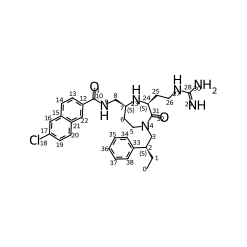 CC[C@H](CN1CC[C@@H](CNC(=O)c2ccc3cc(Cl)ccc3c2)N[C@@H](CCNC(=N)N)C1=O)c1ccccc1